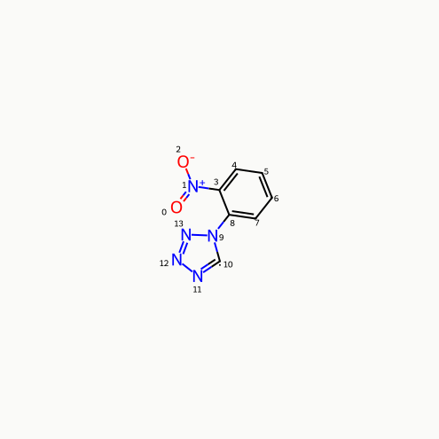 O=[N+]([O-])c1ccccc1-n1[c]nnn1